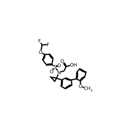 COc1ccccc1-c1cccc(C2(N(CC(=O)O)S(=O)(=O)c3ccc(OC(F)F)cc3)CC2)c1